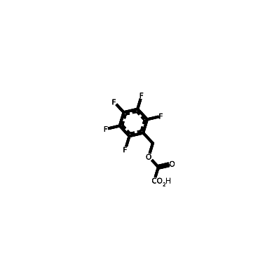 O=C(O)C(=O)OCc1c(F)c(F)c(F)c(F)c1F